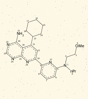 CCCN(CCOC)c1cccc(-c2cc(C3CCCCC3)c3c(N)ncnc3n2)n1